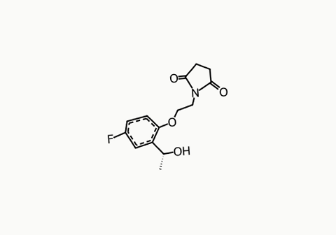 C[C@@H](O)c1cc(F)ccc1OCCN1C(=O)CCC1=O